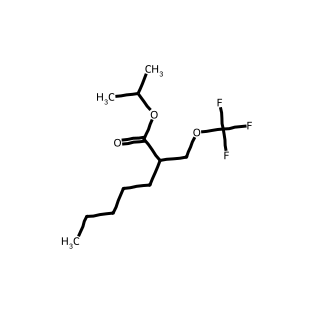 CCCCCC(COC(F)(F)F)C(=O)OC(C)C